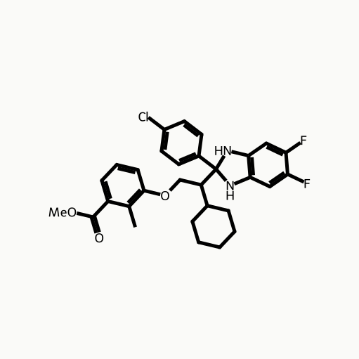 COC(=O)c1cccc(OCC(C2CCCCC2)C2(c3ccc(Cl)cc3)Nc3cc(F)c(F)cc3N2)c1C